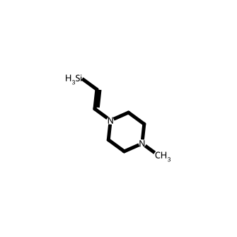 CN1CCN(C=C[SiH3])CC1